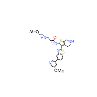 COCCNCCC(=O)Nc1sc2c(c1-c1nc3cc(-c4cncc(OC)c4)ccc3s1)CCNC2